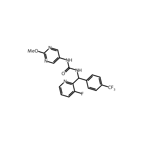 COc1ncc(NC(=O)NC(c2ccc(C(F)(F)F)cc2)c2ncccc2F)cn1